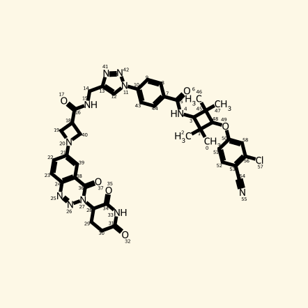 CC1(C)C(NC(=O)c2ccc(-n3cc(CNC(=O)C4CN(c5ccc6nnn(C7CCC(=O)NC7=O)c(=O)c6c5)C4)nn3)cc2)C(C)(C)C1Oc1ccc(C#N)c(Cl)c1